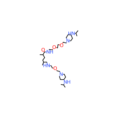 CC(CCC(C)C(=O)NCCOCCOCCN1CCC(NC(C)C)CC1)CNCCOCCN1CCC(NC(C)C)CC1